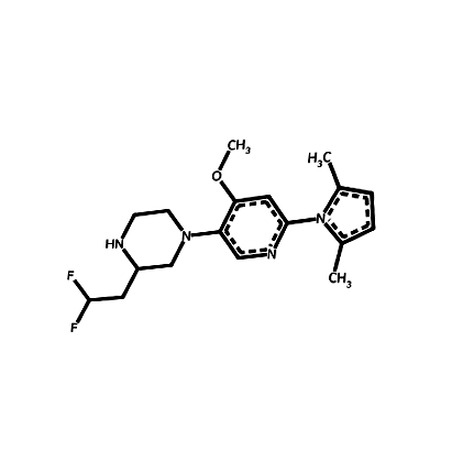 COc1cc(-n2c(C)ccc2C)ncc1N1CCNC(CC(F)F)C1